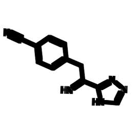 N#Cc1ccc(CC(=N)c2nnc[nH]2)cc1